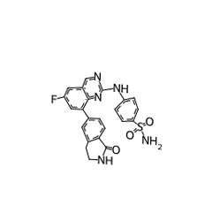 NS(=O)(=O)c1ccc(Nc2ncc3cc(F)cc(-c4ccc5c(c4)CCNC5=O)c3n2)cc1